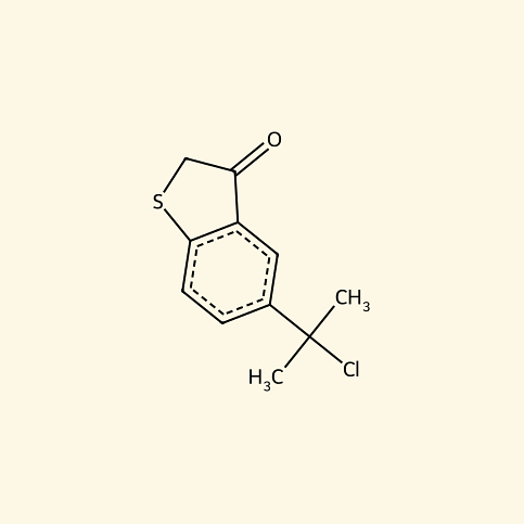 CC(C)(Cl)c1ccc2c(c1)C(=O)CS2